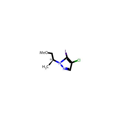 COC[C@H](C)n1ncc(Cl)c1I